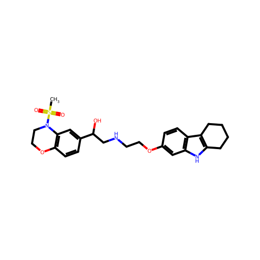 CS(=O)(=O)N1CCOc2ccc(C(O)CNCCOc3ccc4c5c([nH]c4c3)CCCC5)cc21